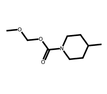 COCOC(=O)N1CCC(C)CC1